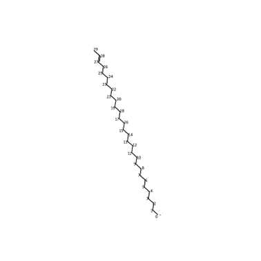 [CH2]CCCCCCCCCCCCCCCCCCCCCCCCCC/C=C/C